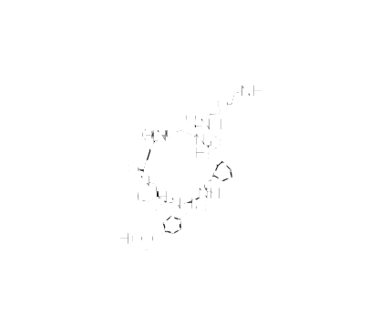 NCCOCCNC(=O)[C@@H]1CCNC(=O)/C=C/C(=O)N2CCC[C@H](C2)C(=O)N[C@@H](Cc2ccc(C(=O)O)cc2)C(=O)NCc2ccccc2CC(=O)N1